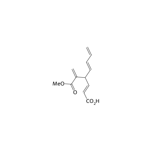 C=CC=CC(C=CC(=O)O)C(=C)C(=O)OC